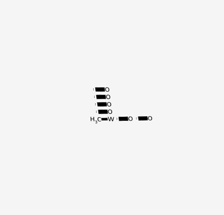 [CH3][W].[C]=O.[C]=O.[C]=O.[C]=O.[C]=O.[C]=O